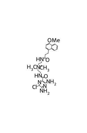 COc1ccc(CCC(=O)NCC[N+](C)(C)CCNC(=O)c2nc(Cl)c(N)nc2N)c2ccccc12